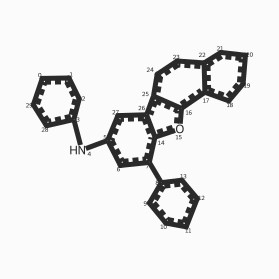 c1ccc(Nc2cc(-c3ccccc3)c3oc4c5ccccc5ccc4c3c2)cc1